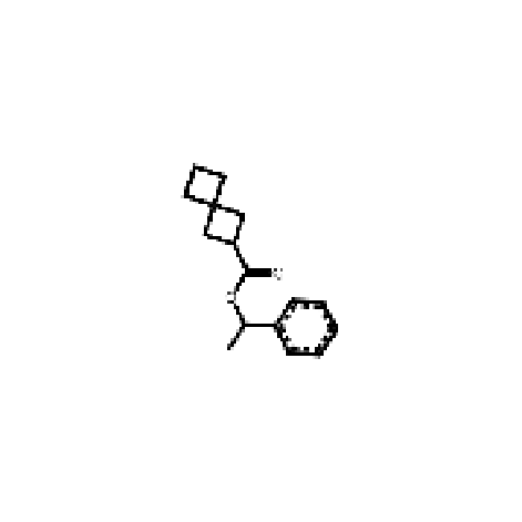 CC(OC(=O)C1CC2(CCC2)C1)c1ccccc1